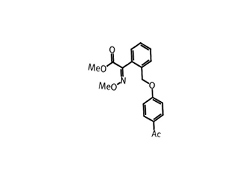 CON=C(C(=O)OC)c1ccccc1COc1ccc(C(C)=O)cc1